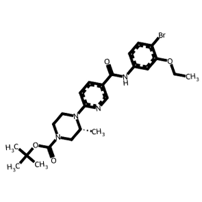 CCOc1cc(NC(=O)c2ccc(N3CCN(C(=O)OC(C)(C)C)C[C@H]3C)nc2)ccc1Br